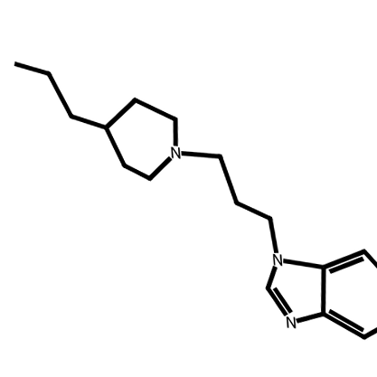 CCCC1CCN(CCCn2cnc3ccccc32)CC1